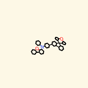 c1ccc(N(c2ccc(-c3ccc4c(c3)-c3ccccc3C43c4ccccc4Oc4ccccc43)cc2)c2cccc3c2oc2ccccc23)cc1